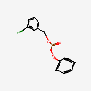 O=S(OCc1cccc(F)c1)Oc1ccccc1